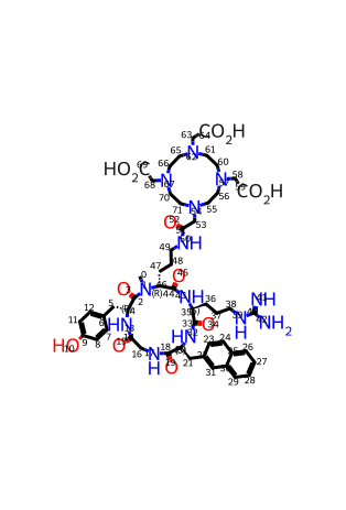 CN1C(=O)[C@@H](Cc2ccc(O)cc2)NC(=O)CNC(=O)[C@H](Cc2ccc3ccccc3c2)NC(=O)[C@H](CCCNC(=N)N)NC(=O)[C@H]1CCCNC(=O)CN1CCN(CC(=O)O)CCN(CC(=O)O)CCN(CC(=O)O)CC1